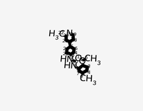 COc1ccc(C)cc1NC(=O)Nc1ccc(-c2ccnc(C)c2)cc1